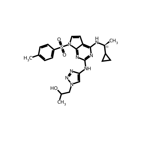 Cc1ccc(S(=O)(=O)n2ccc3c(N[C@@H](C)C4CC4)nc(Nc4cn(CC(C)O)nn4)nc32)cc1